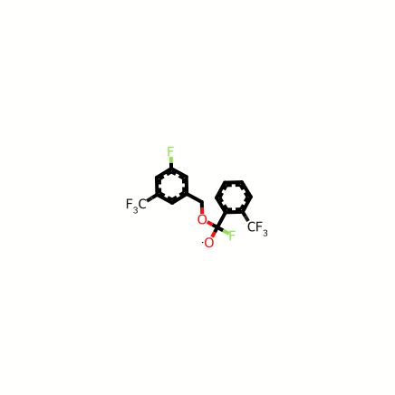 [O]C(F)(OCc1cc(F)cc(C(F)(F)F)c1)c1ccccc1C(F)(F)F